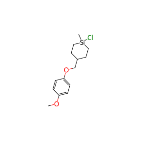 COc1ccc(OCC2CC[Si](C)(Cl)CC2)cc1